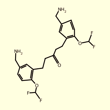 NCc1ccc(OC(F)F)c(CCC(=O)CCc2cc(CN)ccc2OC(F)F)c1